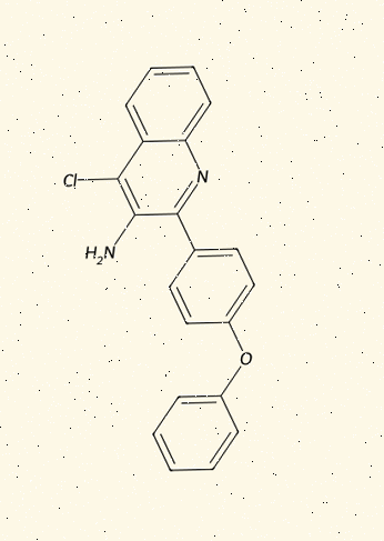 Nc1c(-c2ccc(Oc3ccccc3)cc2)nc2ccccc2c1Cl